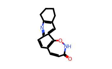 O=C1C=Cc2ccc3nc4c(cc3c2ON1)CCCC4